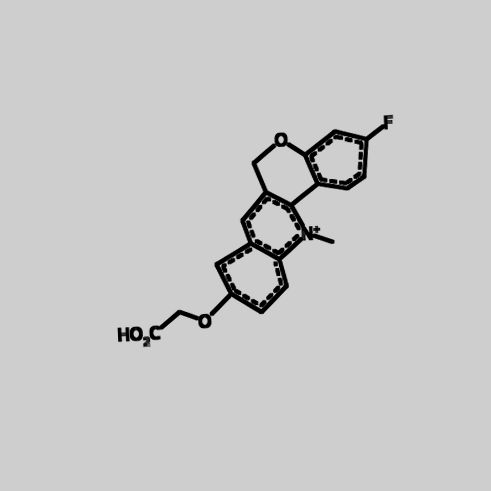 C[n+]1c2c(cc3cc(OCC(=O)O)ccc31)COc1cc(F)ccc1-2